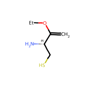 C=C(OCC)[C@@H](N)CS